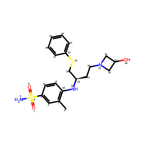 Cc1cc(S(N)(=O)=O)ccc1N[C@H](CCN1CC(O)C1)CSc1ccccc1